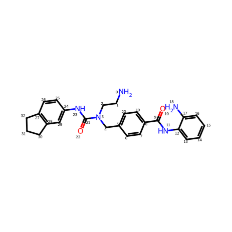 NCCN(Cc1ccc(C(=O)Nc2ccccc2N)cc1)C(=O)Nc1ccc2c(c1)CCC2